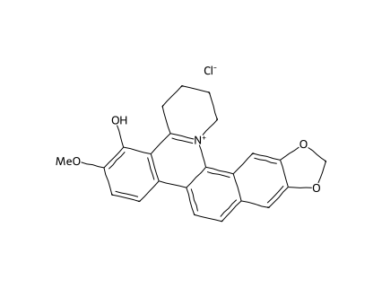 COc1ccc2c(c1O)c1[n+](c3c4cc5c(cc4ccc23)OCO5)CCCC1.[Cl-]